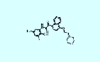 Cc1cc(C(C)(C)C)cc(NC(=O)C(=O)c2ccc(OCCN3CCOCC3)c3ccccc23)c1O